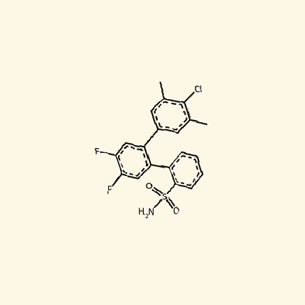 Cc1cc(-c2cc(F)c(F)cc2-c2ccccc2S(N)(=O)=O)cc(C)c1Cl